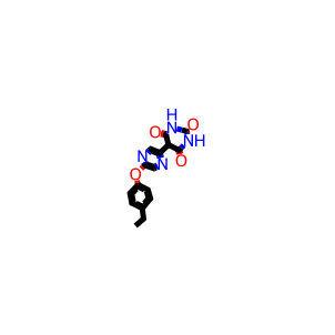 CCc1ccc(Oc2cnc(C3C(=O)NC(=O)NC3=O)cn2)cc1